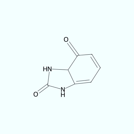 O=C1NC2=CC=CC(=O)C2N1